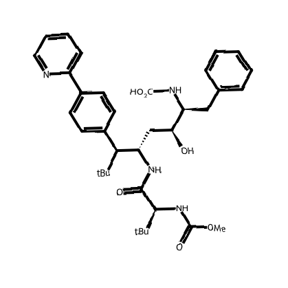 COC(=O)N[C@H](C(=O)N[C@@H](C[C@H](O)[C@H](Cc1ccccc1)NC(=O)O)C(c1ccc(-c2ccccn2)cc1)C(C)(C)C)C(C)(C)C